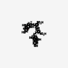 C[C@H](CCCc1cc(S(=O)(=O)O)ccc1OC(=O)Oc1ccc(S(=O)(=O)O)cc1CCC[C@@H](C)[C@H]1CC[C@H]2[C@@H]3[C@H](O)C[C@@H]4C[C@H](O)CC[C@]4(C)[C@H]3C[C@H](O)[C@]12C)[C@H]1CC[C@H]2[C@@H]3[C@H](O)C[C@@H]4C[C@H](O)CC[C@]4(C)[C@H]3C[C@H](O)[C@]12C